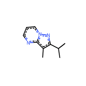 Cc1c(C(C)C)nn2cccnc12